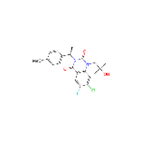 COc1ccc([C@@H](C)n2c(=O)c3cc(F)c(Cl)cc3n(CC(C)(C)O)c2=O)cc1